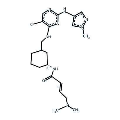 CN(C)C/C=C/C(=O)N[C@@H]1CCCC(CNc2nc(Nc3cnn(C)c3)ncc2Cl)C1